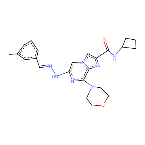 Cc1cccc(/C=N/Nc2cn3cc(C(=O)NC4CCC4)nc3c(N3CCOCC3)n2)c1